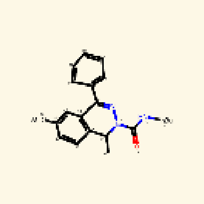 CCCCNC(=O)N1N=C(c2ccccc2)c2cc(OC)ccc2C1C